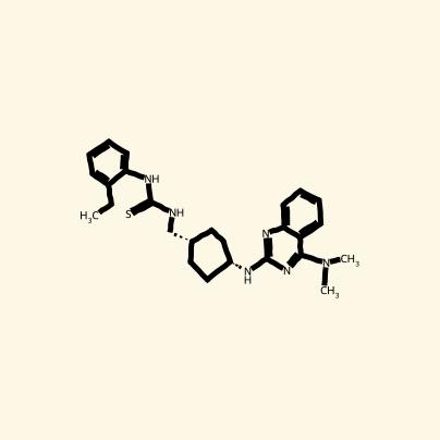 CCc1ccccc1NC(=S)NC[C@H]1CC[C@@H](Nc2nc(N(C)C)c3ccccc3n2)CC1